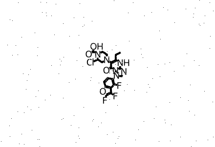 CCC1=C(N2CCN(C(=O)O)C(Cl)C2)C(=O)N2C(=NCN2c2ccc3oc(F)c(F)c3c2F)N1